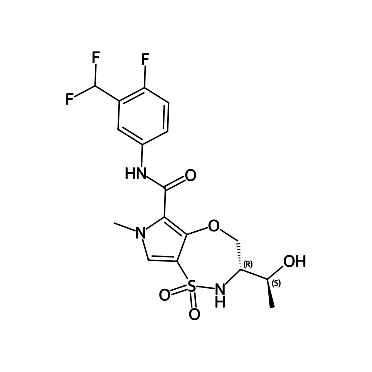 C[C@H](O)[C@H]1COc2c(cn(C)c2C(=O)Nc2ccc(F)c(C(F)F)c2)S(=O)(=O)N1